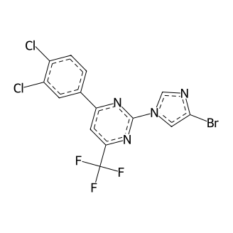 FC(F)(F)c1cc(-c2ccc(Cl)c(Cl)c2)nc(-n2cnc(Br)c2)n1